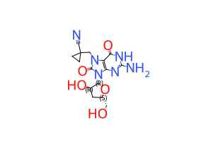 N#CC1(Cn2c(=O)n([C@@H]3O[C@H](CO)C[C@H]3O)c3nc(N)[nH]c(=O)c32)CC1